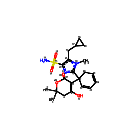 CCCC1(CCC)CC(O)=C(C2(c3nc(S(N)(=O)=O)c(CC4CC4)n3C)C=CC=CC2)C(=O)O1